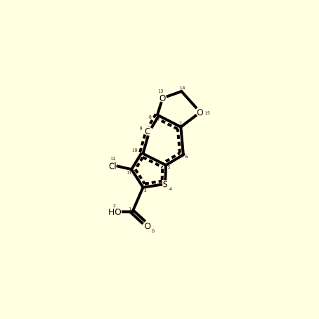 O=C(O)c1sc2cc3c(cc2c1Cl)OCO3